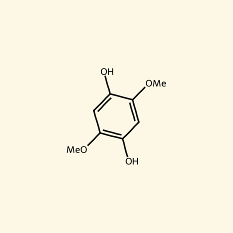 COc1cc(O)c(OC)cc1O